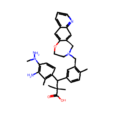 Cc1ccc(C(c2ccc(N(C)N)c(N)c2C)C(C)(C)C(=O)O)cc1CN1CCOc2cc3cccnc3cc2C1